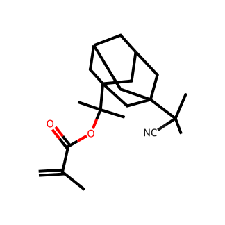 C=C(C)C(=O)OC(C)(C)C12CC3CC(CC(C(C)(C)C#N)(C3)C1)C2